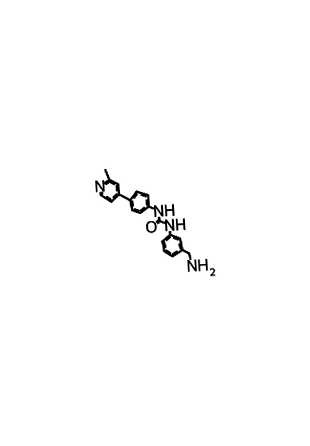 Cc1cc(-c2ccc(NC(=O)Nc3cccc(CN)c3)cc2)ccn1